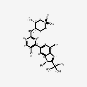 CC(C)n1c(C(C)(C)O)nc2c(F)cc(-c3nc(N[C@@H]4CCS(=O)(=O)C[C@H]4O)ncc3Cl)cc21